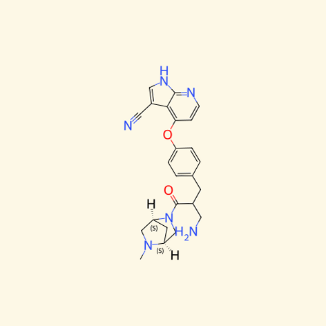 CN1C[C@@H]2C[C@H]1CN2C(=O)C(CN)Cc1ccc(Oc2ccnc3[nH]cc(C#N)c23)cc1